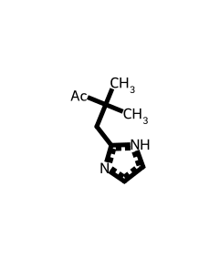 CC(=O)C(C)(C)Cc1ncc[nH]1